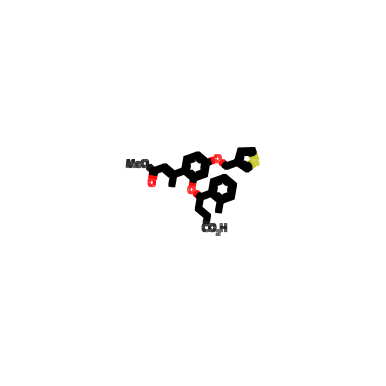 COC(=O)/C=C(\C)c1ccc(OCc2ccsc2)cc1OC(CCC(=O)O)c1ccccc1C